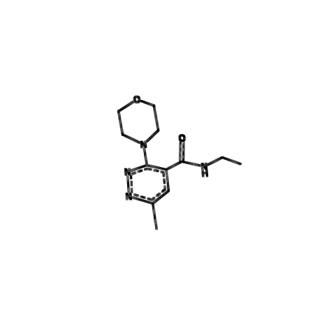 CCNC(=O)c1cc(C)nnc1N1CCOCC1